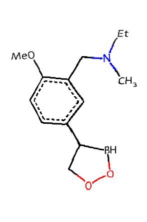 CCN(C)Cc1cc(C2BOOC2)ccc1OC